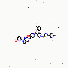 Cc1ccc(-c2ncc(CN3CC[C@@H](C(=O)N4CCC(O)(Cn5cnc6c(ccn6-c6cccc(=O)[nH]6)c5=O)CC4)[C@H](c4ccccc4)C3)s2)cn1